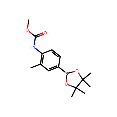 COC(=O)Nc1ccc(B2OC(C)(C)C(C)(C)O2)cc1C